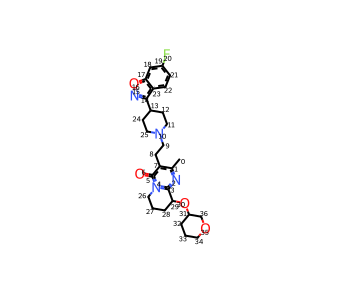 Cc1nc2n(c(=O)c1CCN1CCC(c3noc4cc(F)ccc34)CC1)CCCC2OC1CCCOC1